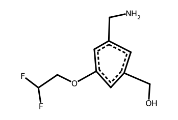 NCc1cc(CO)cc(OCC(F)F)c1